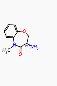 CN1C(=O)[C@H](N)COc2ccccc21